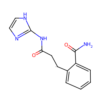 NC(=O)c1ccccc1[CH]CC(=O)Nc1ncc[nH]1